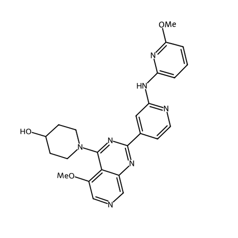 COc1cccc(Nc2cc(-c3nc(N4CCC(O)CC4)c4c(OC)cncc4n3)ccn2)n1